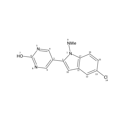 CNn1c(-c2cnc(O)nc2)cc2cc(Cl)ccc21